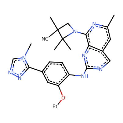 CCOc1cc(-c2nncn2C)ccc1Nc1ncc2cc(C)nc(N3CC(C)(C#N)C3(C)C)c2n1